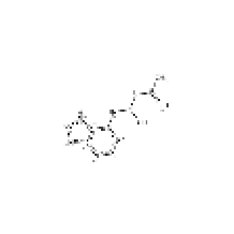 C=C(C)CC(O)Nc1ncnc2nc[nH]c12